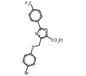 CCOC(=O)c1sc(-c2ccc(C(F)(F)F)cc2)nc1CSc1ccc(Br)cc1